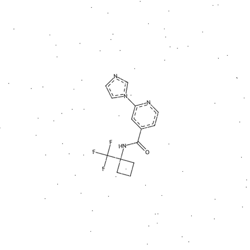 O=C(NC1(C(F)(F)F)CCC1)c1ccnc(-n2ccnc2)c1